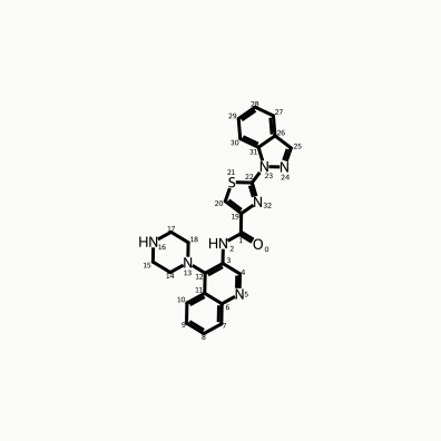 O=C(Nc1cnc2ccccc2c1N1CCNCC1)c1csc(-n2ncc3ccccc32)n1